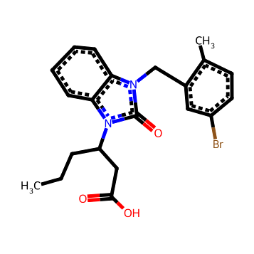 CCCC(CC(=O)O)n1c(=O)n(Cc2cc(Br)ccc2C)c2ccccc21